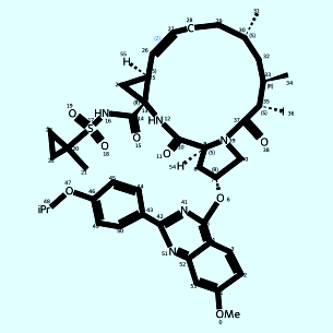 COc1ccc2c(O[C@@H]3C[C@H]4C(=O)N[C@]5(C(=O)NS(=O)(=O)C6(C)CC6)C[C@H]5/C=C\CC[C@H](C)C[C@@H](C)[C@H](I)C(=O)N4C3)nc(-c3ccc(OC(C)C)cc3)nc2c1